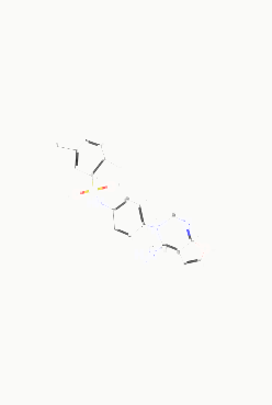 Cc1ccc(C)c(S(=O)(=O)Nc2ccc(N3CN=c4occc4=C3N)cc2)c1